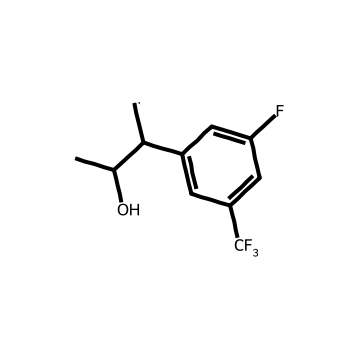 [CH2]C(c1cc(F)cc(C(F)(F)F)c1)C(C)O